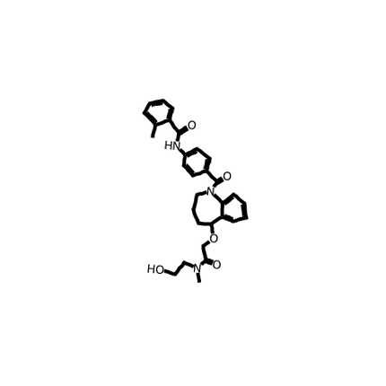 Cc1ccccc1C(=O)Nc1ccc(C(=O)N2CCCC(OCC(=O)N(C)CCO)c3ccccc32)cc1